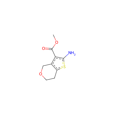 COC(=O)c1c(N)sc2c1COCC2